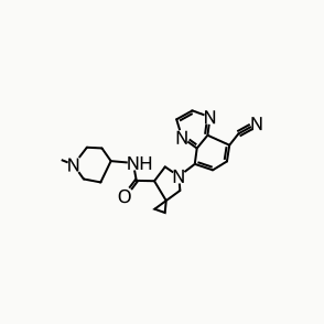 CN1CCC(NC(=O)C2CN(c3ccc(C#N)c4nccnc34)CC23CC3)CC1